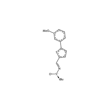 COc1cccc(-c2ccc(/C=N/[S@+]([O-])C(C)(C)C)s2)c1